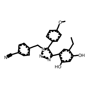 CCc1cc(-c2nnn(Cc3ccc(C#N)cc3)c2-c2ccc(OC)cc2)c(O)cc1O